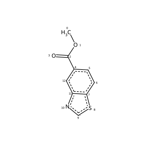 COC(=O)c1ccc2s[c]nc2c1